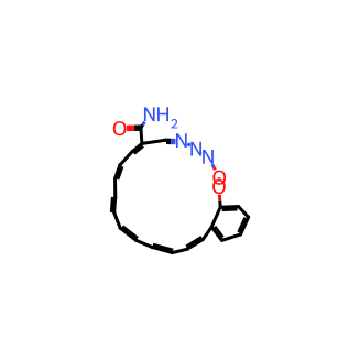 NC(=O)c1cccccccccccc2ccccc2oonnnc1